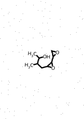 CC(O)C(C)CC1OC1C1CO1